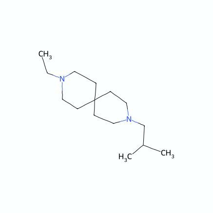 CCN1CCC2(CC1)CCN(CC(C)C)CC2